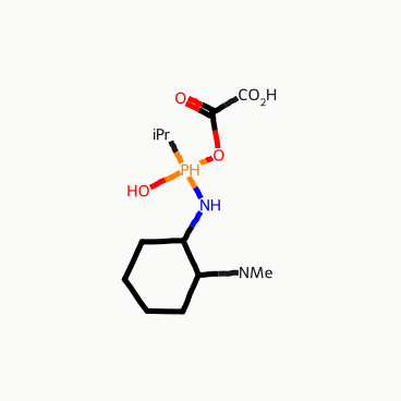 CNC1CCCCC1N[PH](O)(OC(=O)C(=O)O)C(C)C